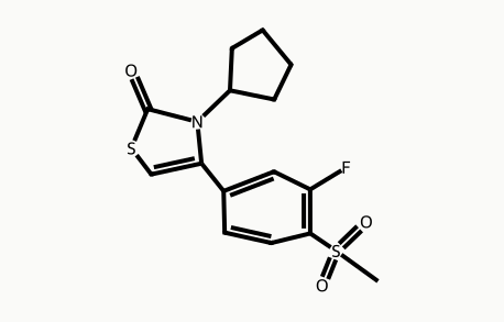 CS(=O)(=O)c1ccc(-c2csc(=O)n2C2CCCC2)cc1F